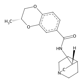 C[C@@H]1COc2ccc(C(=O)N[C@H]3CN4CCC3CC4)cc2O1